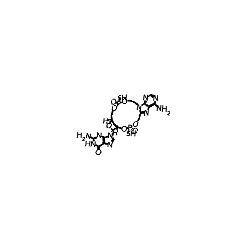 Nc1nc2c(ncn2[C@@H]2O[C@@H]3COP(=O)(S)OCCn4c(nc5c(N)ncnc54)COP(=O)(S)O[C@@H]2C3)c(=O)[nH]1